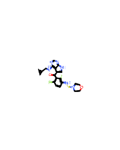 O=C(c1c(F)ccc(NSN2CCOCC2)c1F)c1c[nH]c2ncnc(NCC3CC3)c12